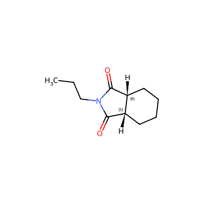 CCCN1C(=O)[C@H]2CCCC[C@H]2C1=O